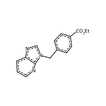 CCOC(=O)c1ccc(Cn2cnc3cccnc32)cc1